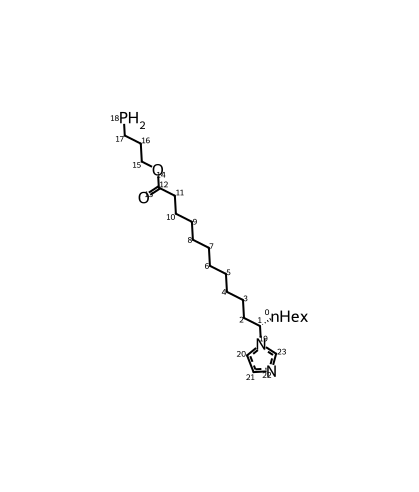 CCCCCC[C@@H](CCCCCCCCCCC(=O)OCCCP)n1ccnc1